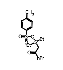 CCCC(=O)CS(CC)(CC)OS(=O)(=O)c1ccc(C)cc1